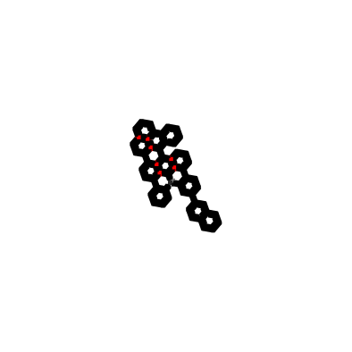 c1ccc(-c2ccc(-c3ccccc3N(c3ccc(-c4cc5ccccc5c5ccccc45)cc3)c3cc(-c4ccc5ccccc5c4)ccc3-c3ccccc3)cc2)cc1